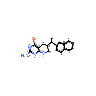 CC(c1ccc2ccccc2c1)C1CNc2nc(N)nc(O)c2C1